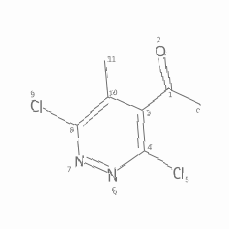 CC(=O)c1c(Cl)nnc(Cl)c1C